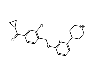 O=C(c1ccc(COc2cccc(C3CCNCC3)n2)c(Cl)c1)C1CC1